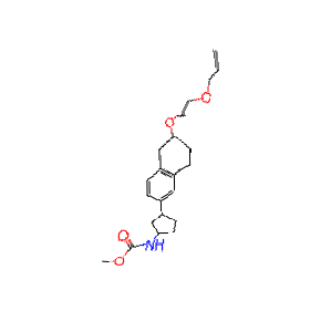 C=CCOCCOC1CCc2cc(C3CCC(NC(=O)OC)C3)ccc2C1